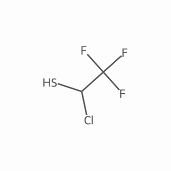 FC(F)(F)C(S)Cl